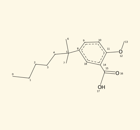 CCCCCC(C)(C)c1ccc(OC)c(C(=O)O)c1